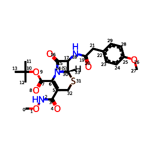 CONC(=O)C1=C(C(=O)OC(C)(C)C)N2C(=O)C(NC(=O)Cc3ccc(OC)cc3)[C@@H]2SC1